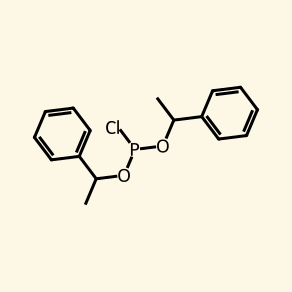 CC(OP(Cl)OC(C)c1ccccc1)c1ccccc1